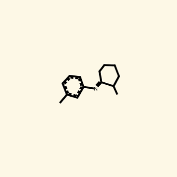 Cc1cccc(/N=C2\CCCCC2C)c1